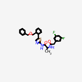 CC(NC(=O)Cc1cc(F)cc(F)c1)C(=O)Nc1ncc(-c2ccccc2COCc2ccccc2)s1